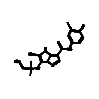 CC(C)(C)CC(C)(C)Nc1c(C(C)(C)C)[nH]c2c(C(=O)Nc3ccc(F)c(F)c3)cnn12